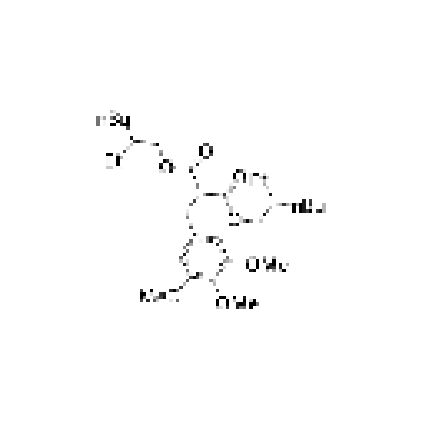 CCCCC(CC)COC(=O)C(Cc1cc(OC)c(OC)c(OC)c1)C(=O)OCC(CC)CCCC